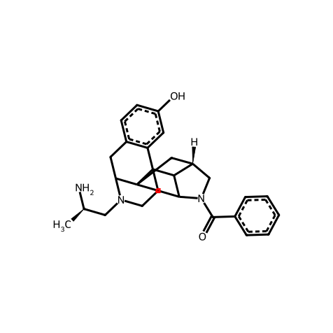 C[C@@H](N)CN1CCC23c4cc(O)ccc4CC1C21CCC2C3[C@@H](CN2C(=O)c2ccccc2)C1